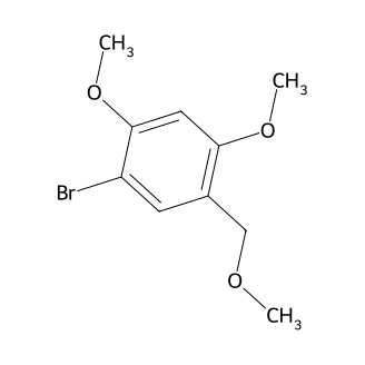 COCc1cc(Br)c(OC)cc1OC